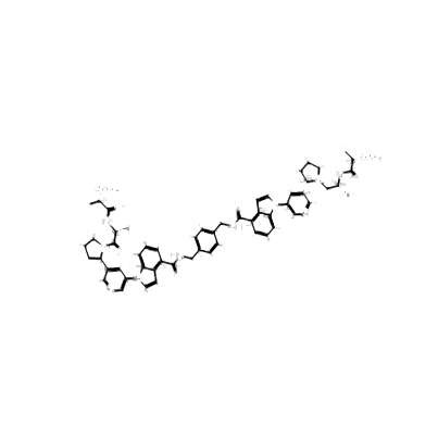 CN[C@@H](C)C(=O)N[C@H](C(=O)N1CCCC1c1cncc(-n2ccc3c(C(=O)NCc4ccc(CNC(=O)c5cccc6c5ccn6-c5cncc([C@@H]6CCCN6C[C@@H](NC(=O)[C@H](C)NC)C(C)C)c5)cc4)cccc32)c1)C(C)C